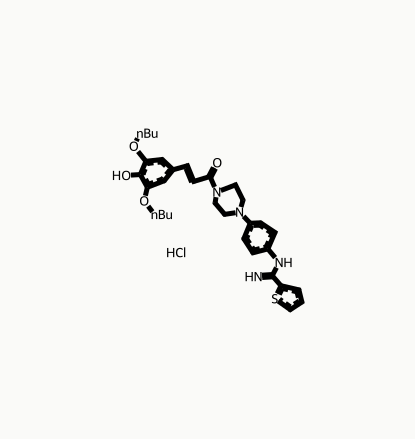 CCCCOc1cc(/C=C/C(=O)N2CCN(c3ccc(NC(=N)c4cccs4)cc3)CC2)cc(OCCCC)c1O.Cl